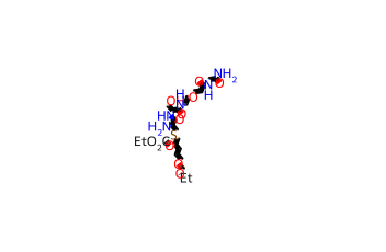 CCOCOCCCC(CSCC(N)C(=O)NC(CO)C(=O)NCCOCCC(=O)NCC(N)=O)OC(=O)OCC